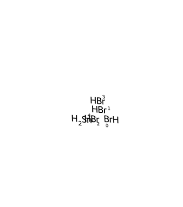 Br.Br.Br.Br.[SnH2]